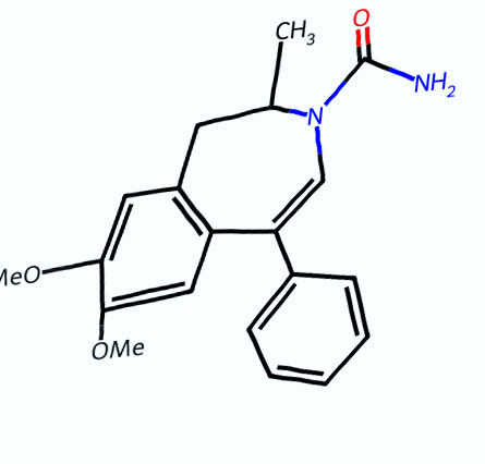 COc1cc2c(cc1OC)C(c1ccccc1)=CN(C(N)=O)C(C)C2